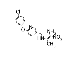 CC(NCc1ccc(Oc2ccc(Cl)cc2)nc1)=C(N)[N+](=O)[O-]